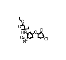 CCOC(=O)CC(C)(CC)Nc1cc(Oc2ccc(Cl)cc2Cl)ccc1[N+](=O)[O-]